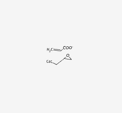 C=CC(=O)[O-].[Ca+][CH2]C1CO1